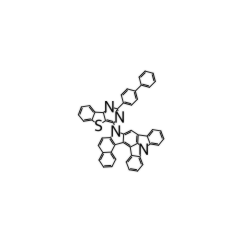 c1ccc(-c2ccc(-c3nc(-n4c5ccc6ccccc6c5c5c6c7ccccc7n7c8ccccc8c(cc54)c67)c4sc5ccccc5c4n3)cc2)cc1